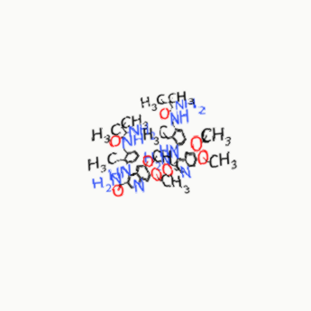 CCOc1cc2ncc(C(N)=O)c(Nc3cccc(CNC(=O)[C@@H](N)[C@@H](C)CC)c3CC)c2cc1OCC.CCOc1cc2ncc(C(N)=O)c(Nc3cccc(CNC(=O)[C@H](N)C(C)C)c3CC)c2cc1OCC